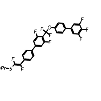 CCCS/C(F)=C(\F)c1ccc(-c2cc(F)c(C(F)(F)Oc3ccc(-c4cc(F)c(F)c(F)c4)cc3)c(F)c2)cc1